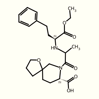 CCOC(=O)[C@H](CCc1ccccc1)NC(C)C(=O)N1CC2(CCCO2)CC[C@H]1C(=O)O